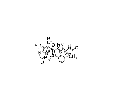 COc1cccc(OC)c1-n1c(NS(=O)(=O)[C@@H](C)[C@H](C)c2ncc(Cl)cn2)nnc1[C@@H]1CCC(=O)N1